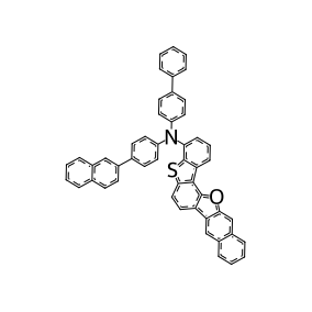 c1ccc(-c2ccc(N(c3ccc(-c4ccc5ccccc5c4)cc3)c3cccc4c3sc3ccc5c6cc7ccccc7cc6oc5c34)cc2)cc1